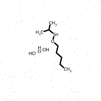 CCCCC[O][Sn][CH](C)C.Cl.Cl.Cl